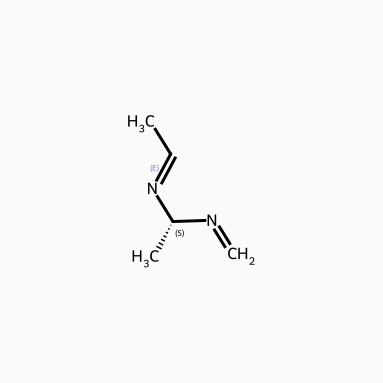 C=N[C@H](C)/N=C/C